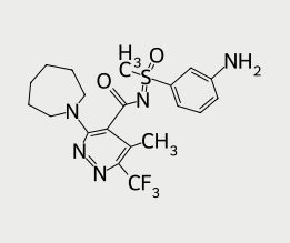 Cc1c(C(F)(F)F)nnc(N2CCCCCC2)c1C(=O)N=S(C)(=O)c1cccc(N)c1